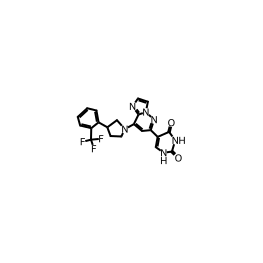 O=c1[nH]cc(-c2cc(N3CCC(c4ccccc4C(F)(F)F)C3)c3nccn3n2)c(=O)[nH]1